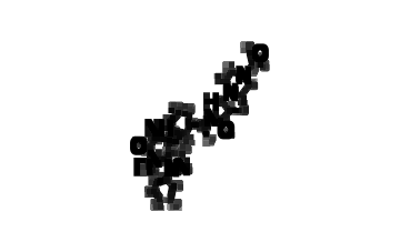 C=C(CN1CCN(C2COC2)CC1)C(=O)N[C@@H](C)c1cccc([C@@H]2c3cnn(-c4ccccc4)c3N(CC)C(=O)[C@H]2N)c1